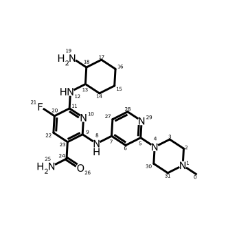 CN1CCN(c2cc(Nc3nc(NC4CCCCC4N)c(F)cc3C(N)=O)ccn2)CC1